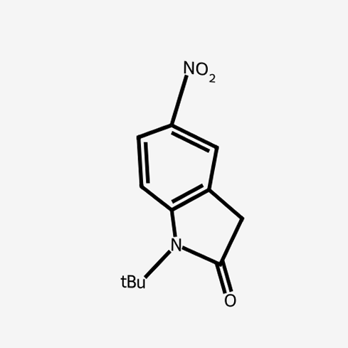 CC(C)(C)N1C(=O)Cc2cc([N+](=O)[O-])ccc21